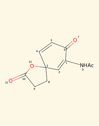 CC(=O)NC1=CC2(C=CC1=O)CCC(=O)O2